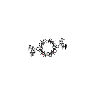 CC(C)C[C@H]1C(=O)O[C@H](Cc2cccc(Cn3nc(C(F)(F)F)cc3C(F)(F)F)c2)C(=O)N(C)[C@@H](CC(C)C)C(=O)O[C@H](C)C(=O)N(C)[C@@H](CC(C)C)C(=O)O[C@H](Cc2ccc(Cn3nc(C(F)(F)F)cc3C(F)(F)F)cc2)C(=O)N(C)[C@@H](CC(C)C)C(=O)O[C@H](C)C(=O)N1C